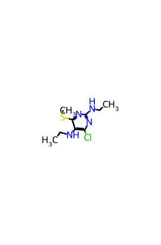 CCNc1nc(Cl)c(NCC)c(SC)n1